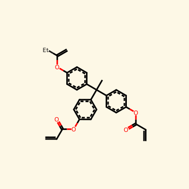 C=CC(=O)Oc1ccc(C(C)(c2ccc(OC(=C)CC)cc2)c2ccc(OC(=O)C=C)cc2)cc1